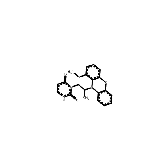 CSc1cccc2c1N(C(C)Cn1c(=O)cc[nH]c1=O)c1ccccc1S2